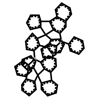 c1ccc(N(c2ccccc2)c2cc3ccccc3c3c2C2(c4ccccc4-c4c(N(c5ccccc5)c5cccc6c5C5(c7ccccc7-c7ccccc75)c5ccccc5-6)cccc42)c2ccccc2-3)cc1